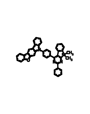 C[Si]1(C)c2ccccc2-c2c(-c3ccc(-n4c5ccccc5c5cc6c(cc54)oc4ccccc46)cc3)nc(-c3ccccc3)nc21